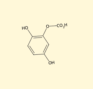 O=C(O)Oc1cc(O)ccc1O